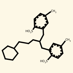 Cc1ccc(S(=O)(=O)O)c(CC(CCCC2CCCCC2)Cc2cc(C)ccc2S(=O)(=O)O)c1